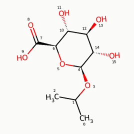 CC(C)O[C@H]1O[C@@H](C(=O)O)[C@H](O)[C@@H](O)[C@@H]1O